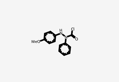 COc1ccc(NN(C(=O)Cl)c2ccccc2)cc1